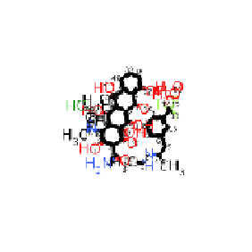 CCNC(C)Cc1cccc(C(F)(F)F)c1.CN(C)[C@@H]1C(O)=C(C(N)=O)C(=O)[C@@]2(O)C(O)=C3C(=O)c4c(O)cccc4[C@@](C)(O)[C@H]3[C@H](O)[C@@H]12.Cl.O.O